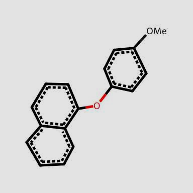 COc1ccc(Oc2cccc3ccccc23)cc1